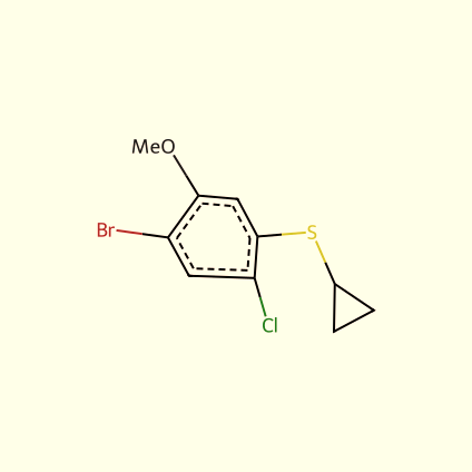 COc1cc(SC2CC2)c(Cl)cc1Br